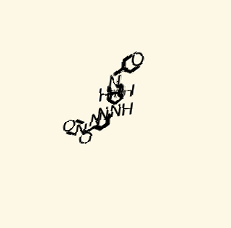 O=C(c1ccc(NC2C[C@@H]3CN(CC4CCOCC4)C[C@@H]3C2)nn1)N1CCOCC1